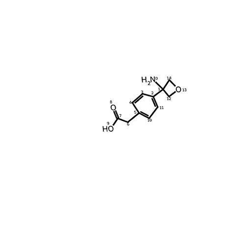 NC1(c2ccc(CC(=O)O)cc2)COC1